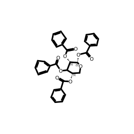 O=C(OC1[C@@H](OC(=O)c2ccccc2)CO[C@@H](OC(=O)c2ccccc2)[C@H]1OC(=O)c1ccccc1)c1ccccc1